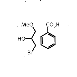 COCC(O)CBr.O=C(O)c1ccccc1